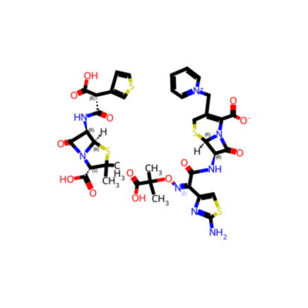 CC(C)(O/N=C(\C(=O)N[C@@H]1C(=O)N2C(C(=O)[O-])=C(C[n+]3ccccc3)CS[C@H]12)c1csc(N)n1)C(=O)O.CC1(C)S[C@@H]2[C@H](NC(=O)[C@H](C(=O)O)c3ccsc3)C(=O)N2[C@H]1C(=O)O